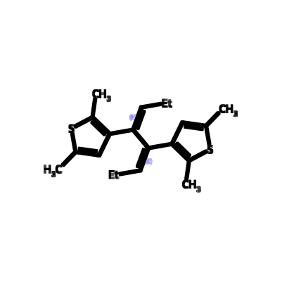 CC/C=C(\C(=C/CC)c1cc(C)sc1C)c1cc(C)sc1C